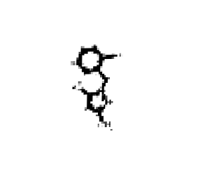 CC(=O)c1cc(C)nn1Cc1ccccc1F